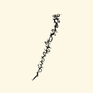 CCCOCCOCCOCCOCCOCCOCCOCCOCCOc1ccc([N+](=O)[O-])cn1